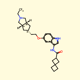 O=C(Nc1c[nH]c2ccc(OCC[C@@H]3C[C@@H]4CN(CC(F)(F)F)C[C@@H]4C3)cc12)C1CC2(CCC2)C1